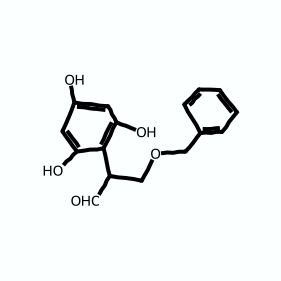 O=CC(COCc1ccccc1)c1c(O)cc(O)cc1O